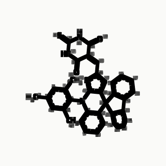 Cc1cc(C)c(N2c3ccccc3C3(c4ccccc4-c4ccccc43)c3cc(C=C4C(=O)NC(=S)NC4=O)sc32)c(C)c1